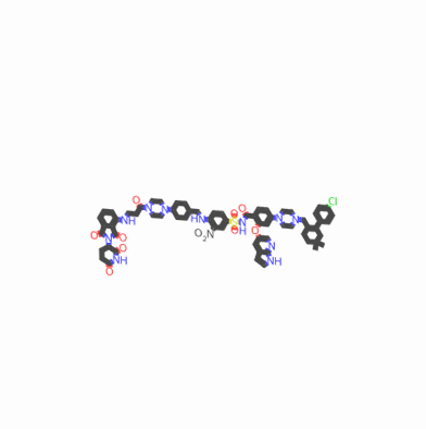 CC1(C)CCC(CN2CCN(c3ccc(C(=O)NS(=O)(=O)c4ccc(NCC5CCC(N6CCN(C(=O)CCNc7cccc8c7C(=O)N(C7CCC(=O)NC7=O)C8=O)CC6)CC5)c([N+](=O)[O-])c4)c(Oc4cnc5[nH]ccc5c4)c3)CC2)=C(c2ccc(Cl)cc2)C1